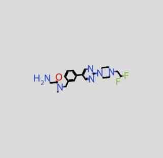 CN(Cc1cccc(-c2cnc(N3CCN(CC(F)F)CC3)nc2)c1)C(=O)CN